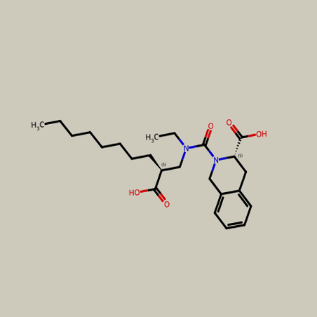 CCCCCCCC[C@@H](CN(CC)C(=O)N1Cc2ccccc2C[C@H]1C(=O)O)C(=O)O